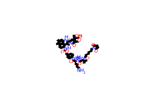 CC[C@@]1(O)C(=O)OCc2c1cc1n(c2=O)C/C(=C2/c3c(N)cc(C)c(C)c3CC[C@@H]2NC(=O)OCc2ccc(NC(=O)[C@H](CCCCN)NC(=O)[C@@H](NC(=O)CCCCCN3C(=O)C=CC3=O)C(C)C)cc2)C1